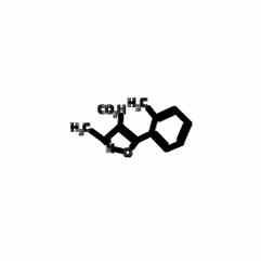 Cc1ccccc1-c1onc(C)c1C(=O)O